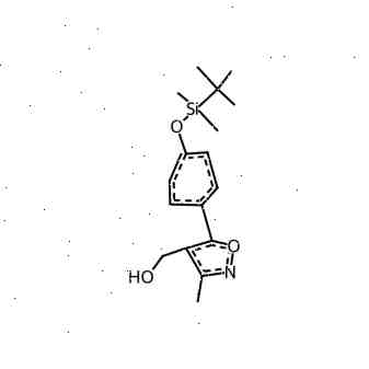 Cc1noc(-c2ccc(O[Si](C)(C)C(C)(C)C)cc2)c1CO